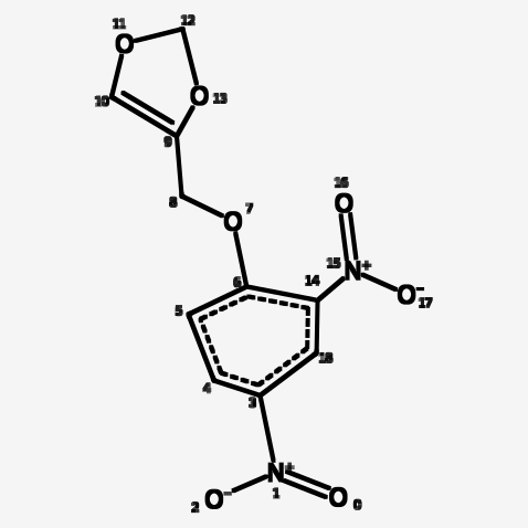 O=[N+]([O-])c1ccc(OCC2=COCO2)c([N+](=O)[O-])c1